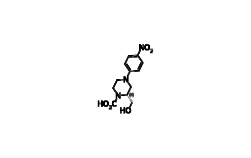 O=C(O)N1CCN(c2ccc([N+](=O)[O-])cc2)C[C@@H]1CO